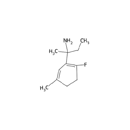 CCC(C)(N)C1=C(F)CCC(C)=C1